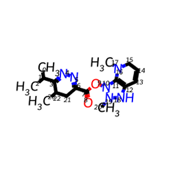 CC(C)C1=NN=C(C(=O)ON2C3=C(C=CCN3C)NN2C)CC1C